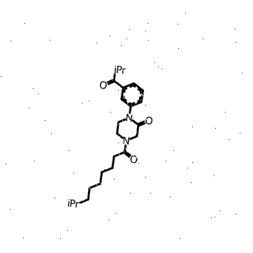 CC(C)CCCCCCC(=O)N1CCN(c2cccc(C(=O)C(C)C)c2)C(=O)C1